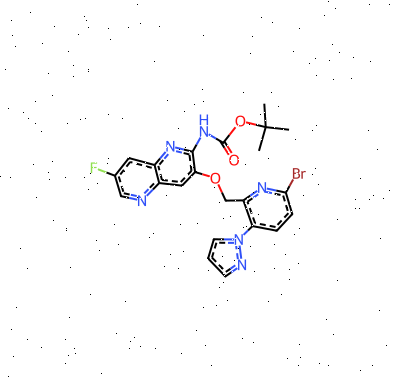 CC(C)(C)OC(=O)Nc1nc2cc(F)cnc2cc1OCc1nc(Br)ccc1-n1cccn1